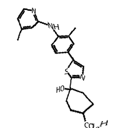 Cc1ccnc(Nc2ccc(-c3cnc(C4(O)CCC(C(=O)O)CC4)s3)cc2C)c1